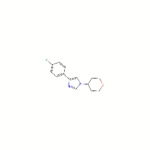 Fc1ccc(-c2cn(C3CCOCC3)cn2)cc1